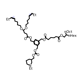 CC/C=C\CCCCOC(CCC(=O)OCc1cc(COC(=O)CCCCC(=O)OCC(CCCCCC)CCCCCCCC)cc(COC(=O)OCC2CCCN(CC)C2)c1)OCCCC/C=C\CC